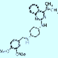 COc1ccc(CN[C@H]2CC[C@@H](Nc3nc(N(C)C)c4ccccc4n3)CC2)cc1OC